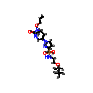 C=CCON1C(=O)N2CC(n3ccc(S(=O)(=O)NCCO[Si](C)(C)C(C)(C)C)n3)=CC1C2